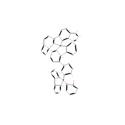 c1ccc2c(c1)Oc1ccc(-c3cccc4c3-c3ccccc3C43c4c(ccc5ccccc45)-c4ccc5ccccc5c43)cc1C21c2ccccc2-c2ccccc21